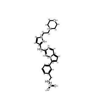 O=[SH](=O)NCc1cccc(-c2ccc3cnc(Nc4ccn(CCN5CCOCC5)n4)nn23)c1